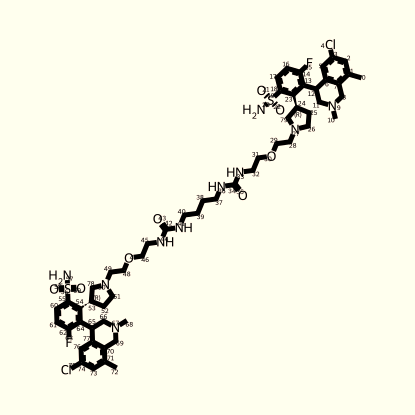 Cc1cc(Cl)cc2c1CN(C)CC2c1c(F)ccc(S(N)(=O)=O)c1[C@H]1CCN(CCOCCNC(=O)NCCCCNC(=O)NCCOCCN2CC[C@H](c3c(S(N)(=O)=O)ccc(F)c3C3CN(C)Cc4c(C)cc(Cl)cc43)C2)C1